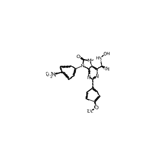 CCOc1ccc(-c2nc(C(=N)NO)c3[nH]c(=O)n(-c4ccc([N+](=O)[O-])cc4)c3n2)cc1